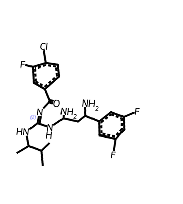 CC(C)C(C)N/C(=N/C(=O)c1ccc(Cl)c(F)c1)NC(N)CC(N)c1cc(F)cc(F)c1